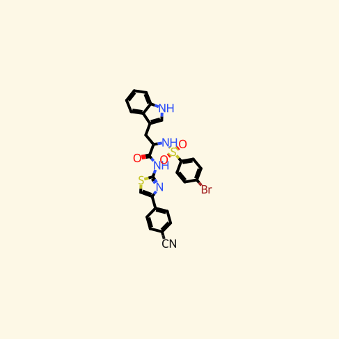 N#Cc1ccc(-c2csc(NC(=O)C(Cc3c[nH]c4ccccc34)NS(=O)(=O)c3ccc(Br)cc3)n2)cc1